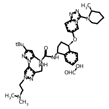 C[C@H]1CCCCN1c1nnc2ccc(O[C@@H]3CC[C@H](NC(=O)Nc4cc(C(C)(C)C)nn4-c4cn(CCN(C)C)nc4CO)c4ccccc43)cn12.O=CO